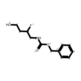 O=C(NCC(F)CCO)OCc1ccccc1